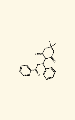 CC1(C)CC(=O)C(C(CC(=O)c2ccccc2)c2ccccc2)C(=O)C1